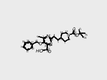 Cc1nc(CCC2CCN(C(=O)OC(C)(C)C)CC2)nc(C(=O)O)c1OCc1ccccc1